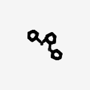 c1ccc(Oc2ccccc2Oc2ccccc2)cc1